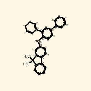 CC1(C)c2ccccc2-c2ccc(Nc3ccc(-c4ccccc4)cc3C3=CCCC=C3)cc21